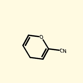 N#CC1=CCC=CO1